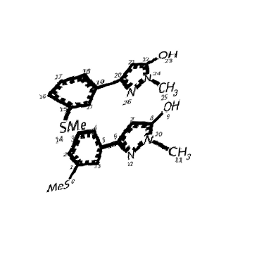 CSc1cccc(-c2cc(O)n(C)n2)c1.CSc1cccc(-c2cc(O)n(C)n2)c1